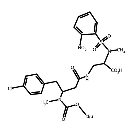 CN(C(=O)OC(C)(C)C)C(CC(=O)NCC(C(=O)O)N(C)S(=O)(=O)c1ccccc1[N+](=O)[O-])Cc1ccc(Cl)cc1